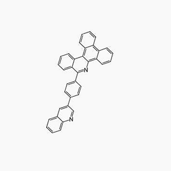 c1ccc2ncc(-c3ccc(-c4nc5c6ccccc6c6ccccc6c5c5ccccc45)cc3)cc2c1